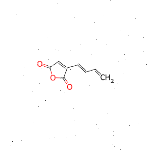 C=CC=CC1=CC(=O)OC1=O